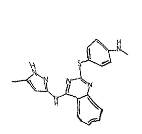 CNc1ccc(Sc2nc(Nc3cc(C)[nH]n3)c3ccccc3n2)cc1